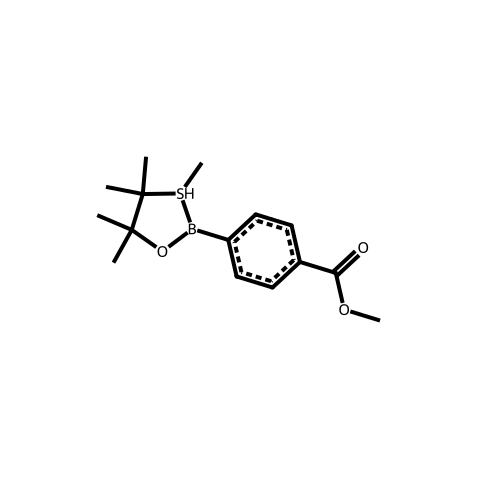 COC(=O)c1ccc(B2OC(C)(C)C(C)(C)[SH]2C)cc1